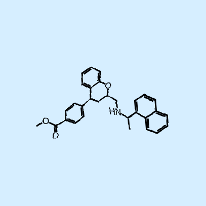 COC(=O)c1ccc([C@@H]2C[C@H](CNC(C)c3cccc4ccccc34)Oc3ccccc32)cc1